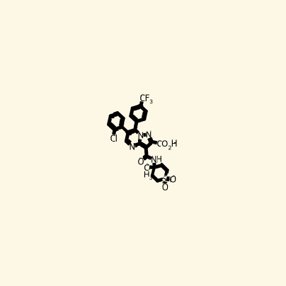 CC1(NC(=O)c2c(C(=O)O)nn3c(-c4ccc(C(F)(F)F)cc4)c(-c4ccccc4Cl)cnc23)CCS(=O)(=O)CC1